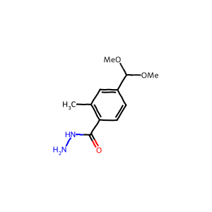 COC(OC)c1ccc(C(=O)NN)c(C)c1